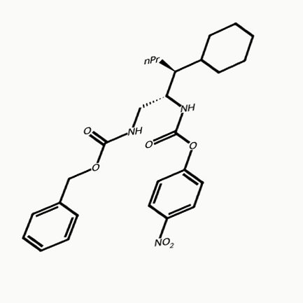 CCC[C@@H](C1CCCCC1)[C@@H](CNC(=O)OCc1ccccc1)NC(=O)Oc1ccc([N+](=O)[O-])cc1